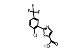 O=C(O)c1cnc(-c2cc(C(F)(F)F)ccc2Cl)s1